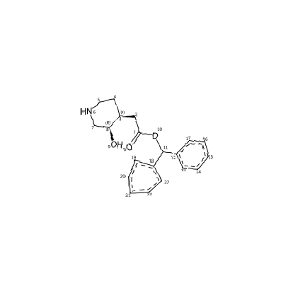 O=C(C[C@@H]1CCNC[C@@H]1O)OC(c1ccccc1)c1ccccc1